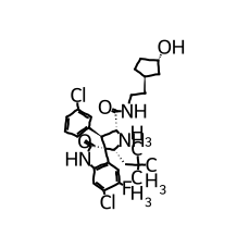 CC(C)(C)C[C@H]1N[C@@H](C(=O)NCC[C@H]2CC[C@H](O)C2)[C@H](c2cccc(Cl)c2)[C@@]12C(=O)Nc1cc(Cl)c(F)cc12